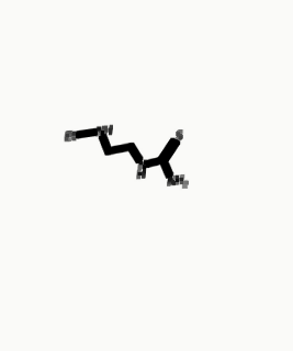 CCNCCNC(N)=S